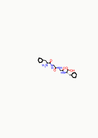 N[C@@H](Cc1ccccc1)C(=O)NCC(=O)NCC(=O)N[C@@H](Cc1ccccc1)C(=O)O